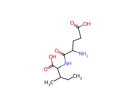 CCC(C)C(NC(=O)C(N)CCC(=O)O)C(=O)O